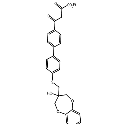 CCOC(=O)C(=O)CC(=O)c1ccc(-c2ccc(SCC3(O)COc4ccccc4OC3)cc2)cc1